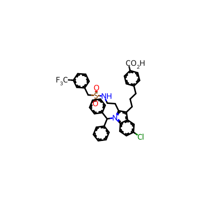 O=C(O)c1ccc(CCCc2c(CCNS(=O)(=O)Cc3cccc(C(F)(F)F)c3)n(C(c3ccccc3)c3ccccc3)c3ccc(Cl)cc23)cc1